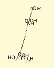 CCCCCCCCCCCCCCCCC(O)C(=O)NCCCCCCCCCCCCCCCCCCOC(C(=O)O)C(O)C(=O)O